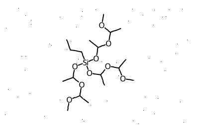 CCC[Si](OC(C)OC(C)OC)(OC(C)OC(C)OC)OC(C)OC(C)OC